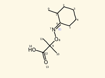 CC1CCCC/C1=N\OC(C)(C)C(=O)O